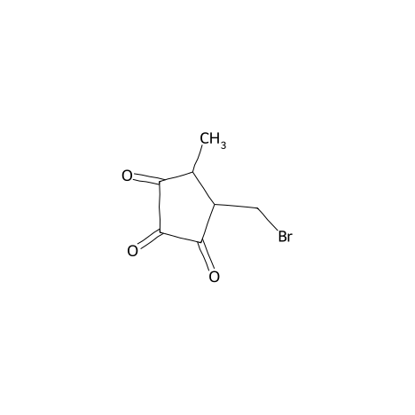 CC1C(=O)C(=O)C(=O)C1CBr